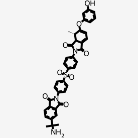 C[C@@H]1C(Oc2cccc(O)c2)=CC=C2C(=O)N(c3ccc(S(=O)(=O)c4ccc(N5C(=O)c6ccc(C(C)(C)N)cc6C5=O)cc4)cc3)C(=O)C21